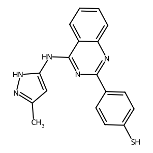 Cc1cc(Nc2nc(-c3ccc(S)cc3)nc3ccccc23)[nH]n1